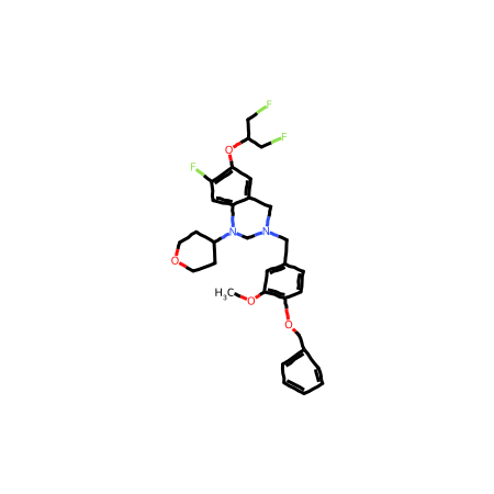 COc1cc(CN2Cc3cc(OC(CF)CF)c(F)cc3N(C3CCOCC3)C2)ccc1OCc1ccccc1